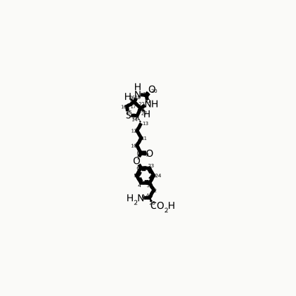 N[C@@H](Cc1ccc(OC(=O)CCCC[C@@H]2SC[C@@H]3NC(=O)N[C@@H]32)cc1)C(=O)O